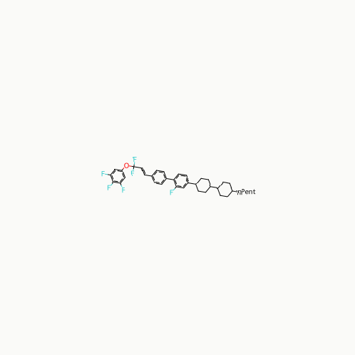 CCCCCC1CCC(C2CCC(c3ccc(-c4ccc(/C=C/C(F)(F)Oc5cc(F)c(F)c(F)c5)cc4)c(F)c3)CC2)CC1